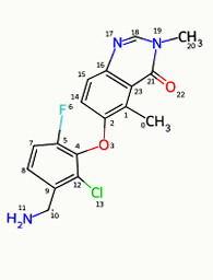 Cc1c(Oc2c(F)ccc([CH]N)c2Cl)ccc2ncn(C)c(=O)c12